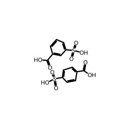 O=C(O)c1ccc(S(=O)(=O)O)cc1.O=C(O)c1cccc(S(=O)(=O)O)c1